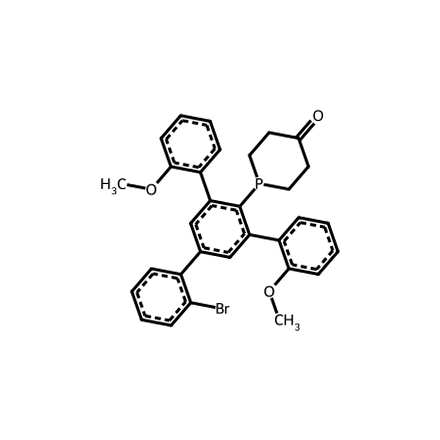 COc1ccccc1-c1cc(-c2ccccc2Br)cc(-c2ccccc2OC)c1P1CCC(=O)CC1